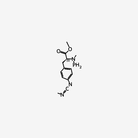 CN=C=Nc1ccc(C[C@@H](C(=O)OC)N(C)P)cc1